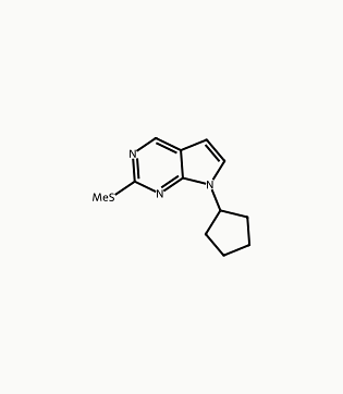 CSc1ncc2ccn(C3CCCC3)c2n1